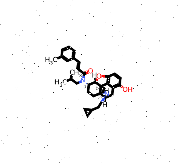 Cc1cccc(C=CC(=O)N(CC(C)C)[C@H]2CC[C@H]3[C@H]4Cc5c(O)ccc6c5[C@@]3(CCN4CC3CC3)[C@H]2O6)c1